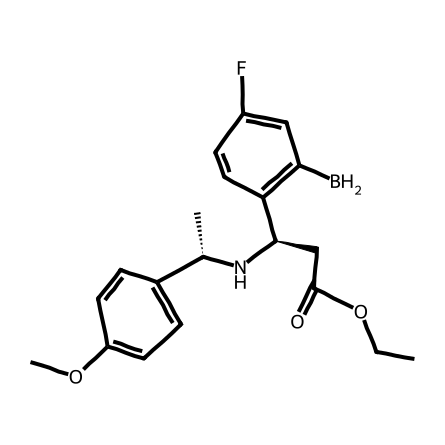 Bc1cc(F)ccc1[C@@H](CC(=O)OCC)N[C@@H](C)c1ccc(OC)cc1